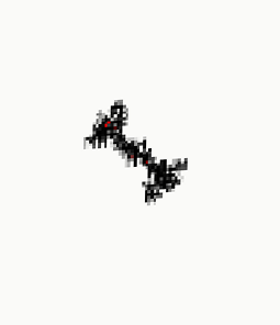 CCOC(=O)C1=C(C)N(c2cccc(C(F)(F)F)c2)C(=O)N(CC(=O)N[C@H]2CC[C@H](NC(=O)c3ccc(C(=O)N[C@H]4CC[C@H](NC(=O)CN5C(=O)N(c6cccc(C(F)(F)F)c6)C(C)=C(C(=O)OCC)C5c5ccc(C#N)cc5)CC4)nc3)CC2)C1c1ccc(C#N)cc1